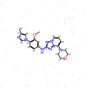 COc1cc(Nc2nc3c(N4CCOCC4)cccn3n2)ccc1-n1cnc(C)c1